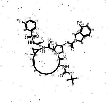 CC(C)(C)OC(=O)N[C@H]1CCCCC/C=C\[C@@H]2C[C@@]2(C(=O)NS(=O)(=O)c2cccc(F)c2)NC(=O)[C@@H]2C[C@@H](OC(=O)N3Cc4cccc(F)c4C3)CN2C1=O